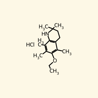 CCOc1c(C)c(C)c2c(c1C)CCC(C)(C)N2.Cl